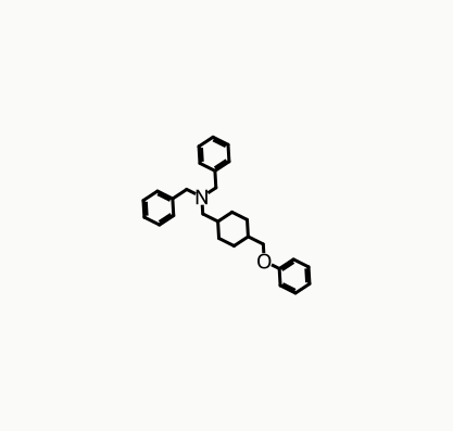 c1ccc(CN(Cc2ccccc2)CC2CCC(COc3ccccc3)CC2)cc1